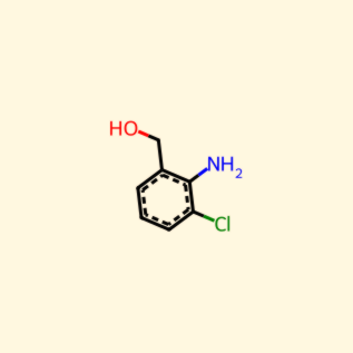 Nc1c(Cl)cccc1CO